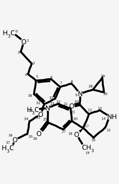 COCCCc1cc(CN(C(=O)C2CNCC[C@]2(OC)c2ccn(C)c(=O)c2)C2CC2)cc(OCCOC)c1